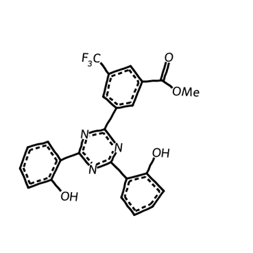 COC(=O)c1cc(-c2nc(-c3ccccc3O)nc(-c3ccccc3O)n2)cc(C(F)(F)F)c1